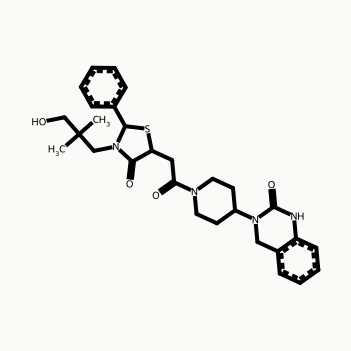 CC(C)(CO)CN1C(=O)C(CC(=O)N2CCC(N3Cc4ccccc4NC3=O)CC2)SC1c1ccccc1